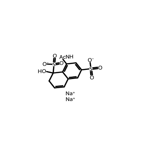 CC(=O)Nc1cc(S(=O)(=O)[O-])cc2c1C(O)(S(=O)(=O)[O-])CC=C2.[Na+].[Na+]